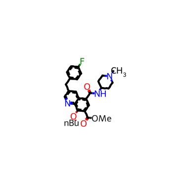 CCCCOc1c(C(=O)OC)cc(C(=O)NC2CCN(C)CC2)c2cc(Cc3ccc(F)cc3)cnc12